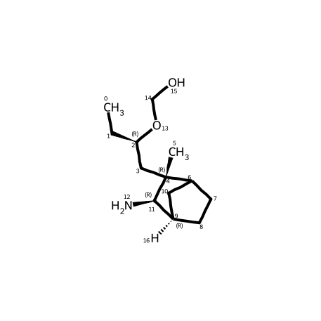 CC[C@H](C[C@]1(C)C2CC[C@H](C2)[C@H]1N)OCO